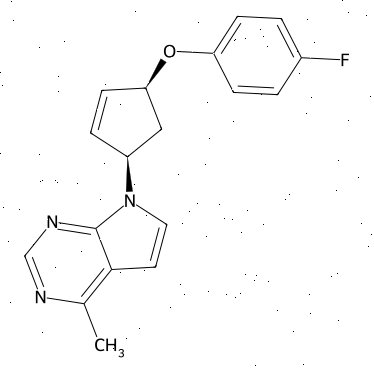 Cc1ncnc2c1ccn2[C@H]1C=C[C@@H](Oc2ccc(F)cc2)C1